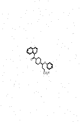 O=C(O)CCC(Oc1ccccc1)N1CCN(C(=O)c2cccc3ccccc23)CC1